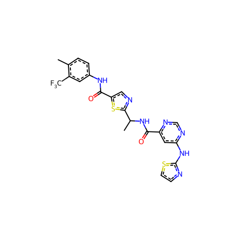 Cc1ccc(NC(=O)c2cnc(C(C)NC(=O)c3cc(Nc4nccs4)ncn3)s2)cc1C(F)(F)F